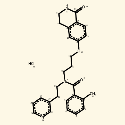 Cc1ccccc1C(=O)N(CCCOc1ccc2c(c1)CCNC2=O)CCc1cccnc1.Cl